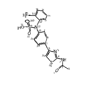 CC(=O)Nc1nc(-c2ccc(N(c3ccccc3F)S(=O)(=O)O)cc2)cs1